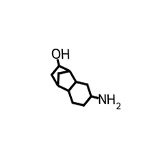 NC1CCC2C3CC(O)C(C3)C2C1